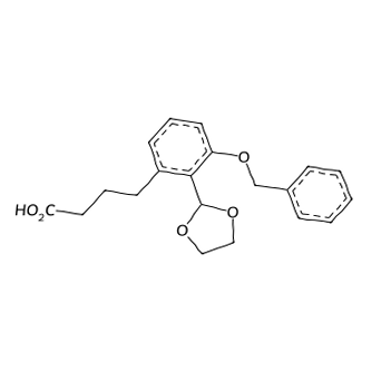 O=C(O)CCCc1cccc(OCc2ccccc2)c1C1OCCO1